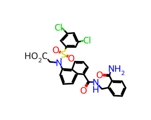 NC(=O)c1ccccc1CNC(=O)c1cccc2c(N(CC(=O)O)S(=O)(=O)c3cc(Cl)cc(Cl)c3)cccc12